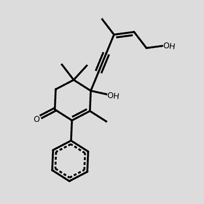 CC1=C(c2ccccc2)C(=O)CC(C)(C)C1(O)C#C/C(C)=C\CO